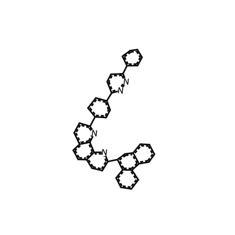 c1ccc(-c2ccc(-c3ccc(-c4ccc5ccc6ccc(-c7cc8ccccc8c8ccccc78)nc6c5n4)cc3)nn2)cc1